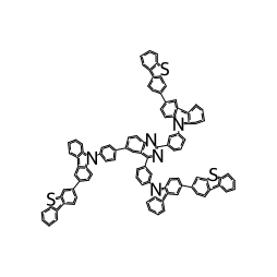 c1cc(-c2nc(-c3cccc(-n4c5ccccc5c5cc(-c6ccc7c(c6)sc6ccccc67)ccc54)c3)c3cc(-c4ccc(-n5c6ccccc6c6cc(-c7ccc8c(c7)sc7ccccc78)ccc65)cc4)ccc3n2)cc(-n2c3ccccc3c3cc(-c4ccc5c(c4)sc4ccccc45)ccc32)c1